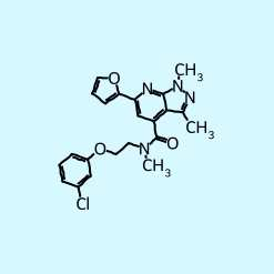 Cc1nn(C)c2nc(-c3ccco3)cc(C(=O)N(C)CCOc3cccc(Cl)c3)c12